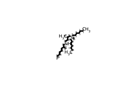 CCCCCCC[Si](F)(CCCCCCC)CC(C)CC[SiH2]CC(F)CCCCCF